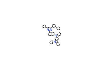 c1ccc(-c2cccc(-c3cc(-c4ccccc4)nc(-c4cccc5cc(-n6c7ccccc7c7cc8c9ccccc9n(-c9ccccc9)c8cc76)ccc45)n3)c2)cc1